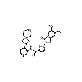 COc1cc2c(cc1OC)C(=O)N(c1ccc(C(=O)Nc3cnccc3N3CC4(CCNCC4)C3)s1)C2